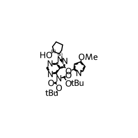 COc1ccnc(Oc2nn([C@H]3CCCC[C@H]3O)c3ncnc(N(C(=O)OC(C)(C)C)C(=O)OC(C)(C)C)c23)c1